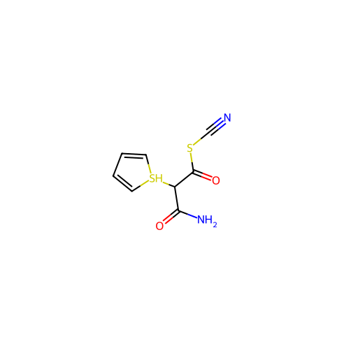 N#CSC(=O)C(C(N)=O)[SH]1C=CC=C1